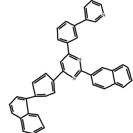 c1cncc(-c2cccc(-c3cc(-c4ccc(-c5cccc6ccccc56)cc4)nc(-c4ccc5ccccc5c4)n3)c2)c1